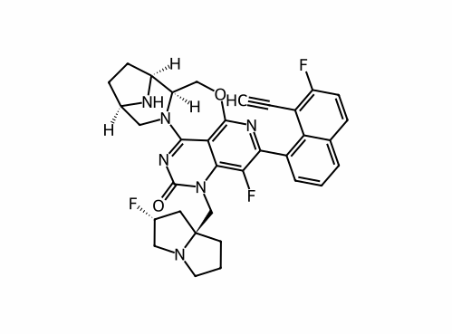 C#Cc1c(F)ccc2cccc(-c3nc4c5c(nc(=O)n(C[C@@]67CCCN6C[C@H](F)C7)c5c3F)N3C[C@H]5CC[C@H](N5)[C@H]3CO4)c12